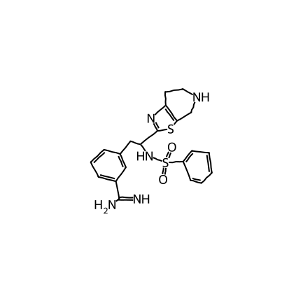 N=C(N)c1cccc(CC(NS(=O)(=O)c2ccccc2)c2nc3c(s2)CNCC3)c1